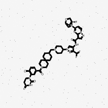 O=C1CCN(c2cc(C(=O)N3CCC4(CCC(CN5CCC(n6cc(NC(=O)c7cnn8ccc(N9CC%10C[C@@H]9CO%10)nc78)c(C(F)F)n6)CC5)CC4)CC3)ccc2Cl)C(=O)N1